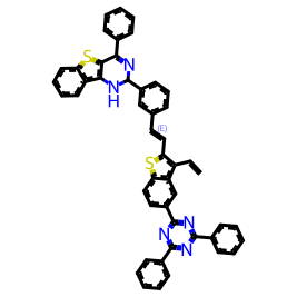 C=Cc1c(/C=C/c2cccc(C3N=C(c4ccccc4)c4sc5ccccc5c4N3)c2)sc2ccc(-c3nc(-c4ccccc4)nc(-c4ccccc4)n3)cc12